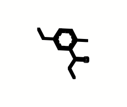 CCC(=O)c1cc(CC)ccc1C